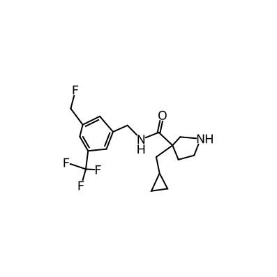 O=C(NCc1cc(CF)cc(C(F)(F)F)c1)C1(CC2CC2)CCNC1